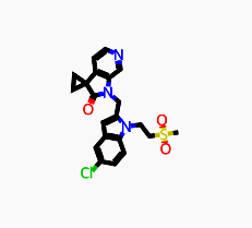 CS(=O)(=O)CCn1c(CN2C(=O)C3(CC3)c3ccncc32)cc2cc(Cl)ccc21